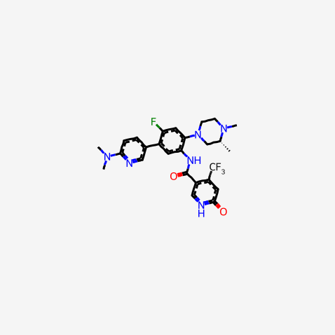 C[C@@H]1CN(c2cc(F)c(-c3ccc(N(C)C)nc3)cc2NC(=O)c2c[nH]c(=O)cc2C(F)(F)F)CCN1C